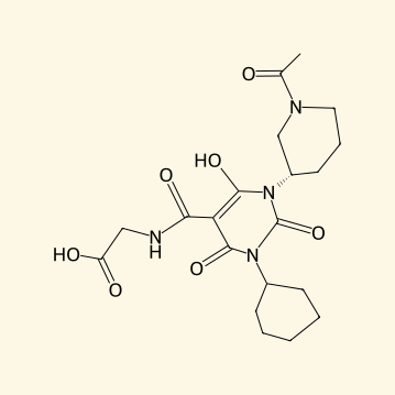 CC(=O)N1CCC[C@H](n2c(O)c(C(=O)NCC(=O)O)c(=O)n(C3CCCCC3)c2=O)C1